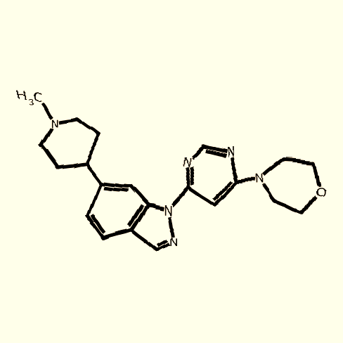 CN1CCC(c2ccc3cnn(-c4cc(N5CCOCC5)ncn4)c3c2)CC1